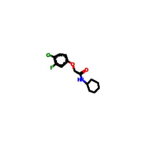 O=C(COc1ccc(Cl)c(F)c1)NC1CCCCC1